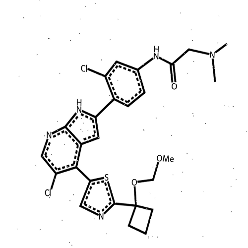 COCOC1(c2ncc(-c3c(Cl)cnc4[nH]c(-c5ccc(NC(=O)CN(C)C)cc5Cl)cc34)s2)CCC1